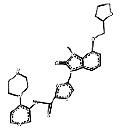 Cn1c(=O)n(-c2csc(C(=O)Nc3cnccc3N3CCNCC3)n2)c2cccc(OCC3CCCO3)c21